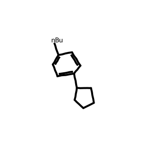 [CH2]CCCc1ccc(C2CCCC2)cc1